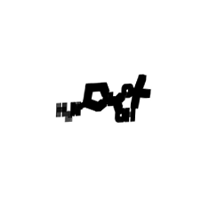 CC(C)(C)OC(O)N1CC[C@@H](N)C1